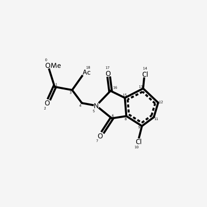 COC(=O)C(CN1C(=O)c2c(Cl)ccc(Cl)c2C1=O)C(C)=O